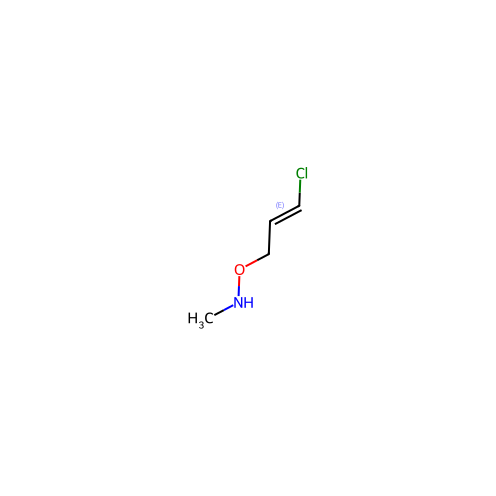 CNOC/C=C/Cl